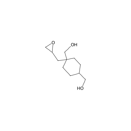 OCC1CCC(CO)(CC2CO2)CC1